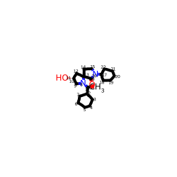 CC(C1CCCCC1)N1C[C@H](O)CC12CCN(C1CCCCC1)C2=O